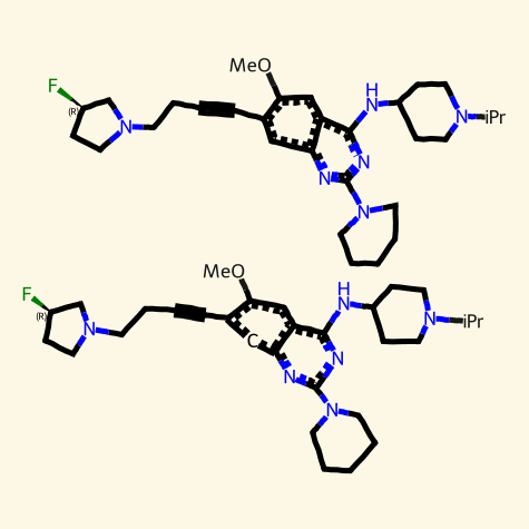 COc1cc2c(NC3CCN(C(C)C)CC3)nc(N3CCCCC3)nc2cc1C#CCCN1CC[C@@H](F)C1.COc1cc2c(NC3CCN(C(C)C)CC3)nc(N3CCCCC3)nc2cc1C#CCCN1CC[C@@H](F)C1